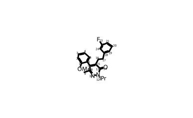 COc1ccccc1-c1c(C)nn(C(C)C)c(=O)c1CCc1cccc(F)c1